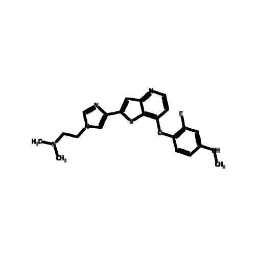 CNc1ccc(Oc2ccnc3cc(-c4cn(CCN(C)C)cn4)sc23)c(F)c1